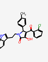 Cc1ccc(C2C(C(=O)c3ccccc3Cl)=C(O)C(=O)N2CCc2c[nH]c3ccccc23)cc1